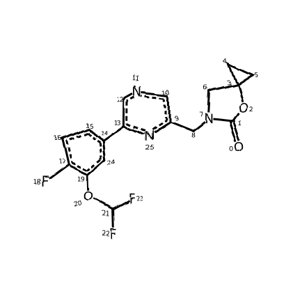 O=C1OC2(CC2)CN1Cc1cncc(-c2ccc(F)c(OC(F)F)c2)n1